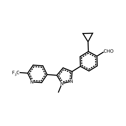 Cn1nc(-c2ccc(C=O)c(C3CC3)c2)cc1-c1ccc(C(F)(F)F)nc1